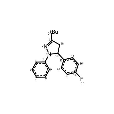 CC(C)(C)C1=NN(c2ccccc2)C(c2ccc(F)cc2)C1